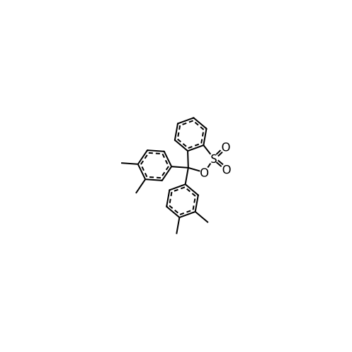 Cc1ccc(C2(c3ccc(C)c(C)c3)OS(=O)(=O)c3ccccc32)cc1C